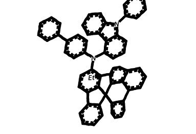 CCc1ccc2cccc3c2c1C1(c2ccccc2-c2ccc(N(c4ccc(-c5ccccc5)cc4)c4cccc5c4c4ccccc4n5-c4ccccc4)cc21)c1ccccc1-3